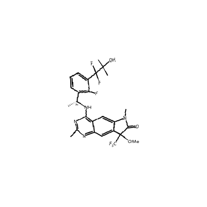 COC1(C(F)(F)F)C(=O)N(C)c2cc3c(N[C@H](C)c4cccc(C(F)(F)C(C)(C)O)c4F)nc(C)nc3cc21